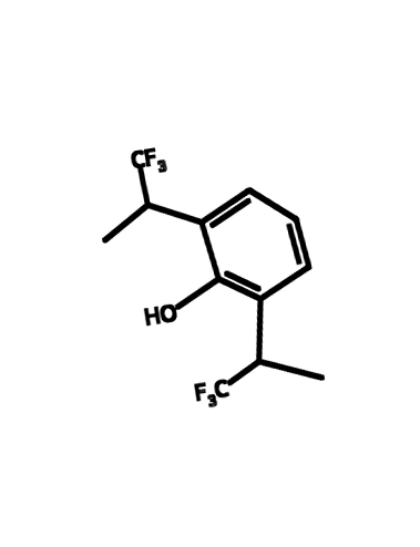 CC(c1cccc(C(C)C(F)(F)F)c1O)C(F)(F)F